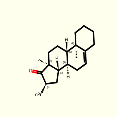 CCC[C@@H]1C[C@H]2[C@@H]3CC=C4CCCC[C@]4(C)[C@H]3CC[C@]2(C)C1=O